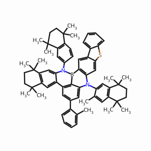 Cc1ccccc1-c1cc2c3c(c1)N(c1cc4c(cc1C)C(C)(C)CCC4(C)C)c1cc4sc5ccccc5c4cc1B3N(c1ccc3c(c1)C(C)(C)CCC3(C)C)c1cc3c(cc1-2)C(C)(C)CCC3(C)C